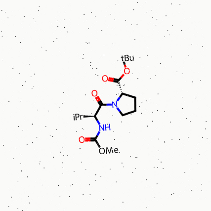 COC(=O)N[C@H](C(=O)N1CCC[C@H]1C(=O)OC(C)(C)C)C(C)C